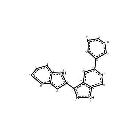 c1ccc2[nH]c(-c3n[nH]c4cnc(-c5cncnc5)cc34)cc2c1